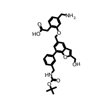 CC(C)(C)OC(=O)NCc1cccc(-c2cc(COc3cc(CN)ccc3CC(=O)O)cc3cc(CO)oc23)c1